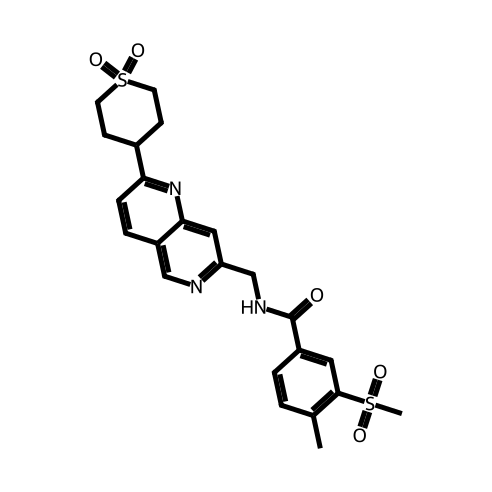 Cc1ccc(C(=O)NCc2cc3nc(C4CCS(=O)(=O)CC4)ccc3cn2)cc1S(C)(=O)=O